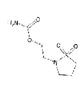 NC(=O)OCCN1CCCS1(=O)=O